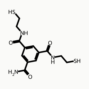 NC(=O)c1cc(C(=O)NCCS)cc(C(=O)NCCS)c1